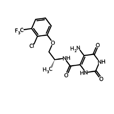 C[C@H](COc1cccc(C(F)(F)F)c1Cl)NC(=O)c1[nH]c(=O)[nH]c(=O)c1N